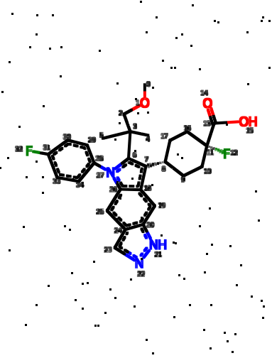 COCC(C)(C)c1c([C@H]2CC[C@](F)(C(=O)O)CC2)c2cc3[nH]ncc3cc2n1-c1ccc(F)cc1